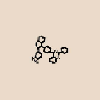 c1ccc(-c2nc(-c3ccc(-c4c(-c5ccc6scnc6c5)ccc5ccccc45)cc3)c3ccccc3n2)cc1